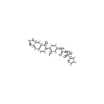 O=C(Nc1ccc(-n2ccc3cc4ncsc4cc3c2=O)c(F)c1)NS(=O)(=O)c1cccs1